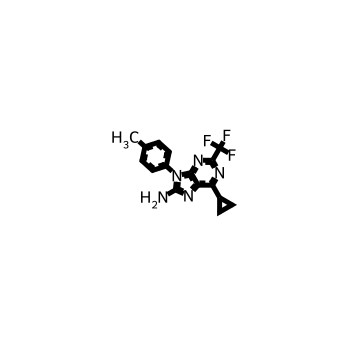 Cc1ccc(-n2c(N)nc3c(C4CC4)nc(C(F)(F)F)nc32)cc1